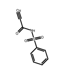 C#CC(=O)NS(=O)(=O)c1ccccc1